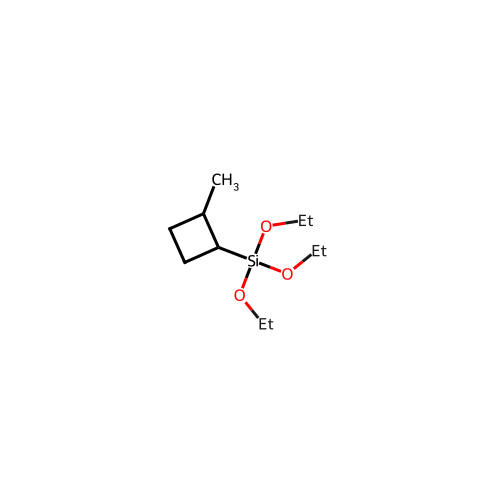 CCO[Si](OCC)(OCC)C1CCC1C